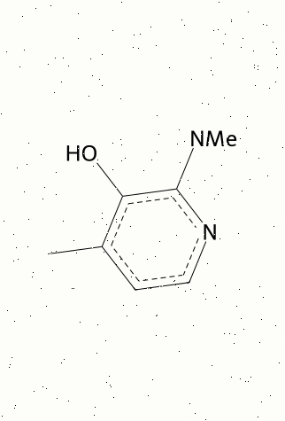 CNc1nccc(C)c1O